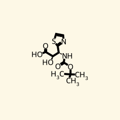 CC(C)(C)OC(=O)N[C@@H](c1nccs1)[C@@H](O)C(=O)O